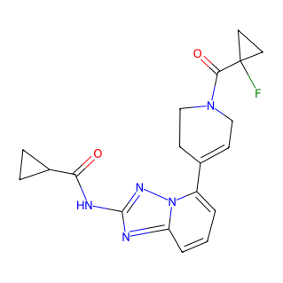 O=C(Nc1nc2cccc(C3=CCN(C(=O)C4(F)CC4)CC3)n2n1)C1CC1